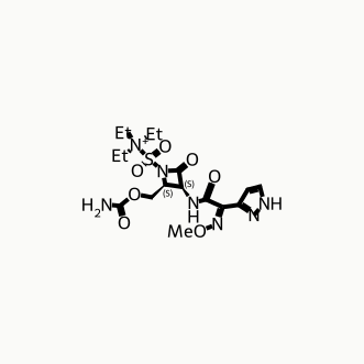 CC[N+](CC)(CC)S(=O)(=O)N1C(=O)[C@@H](NC(=O)C(=NOC)c2cc[nH]n2)[C@H]1COC(N)=O